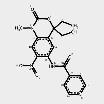 CCC1(CC)OC(=O)N(C)c2cc([N+](=O)[O-])c(NC(=O)c3ccncc3)cc21